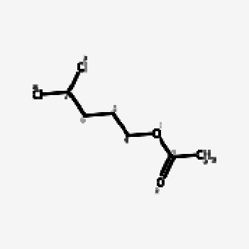 CC(=O)OCCCC(Cl)Cl